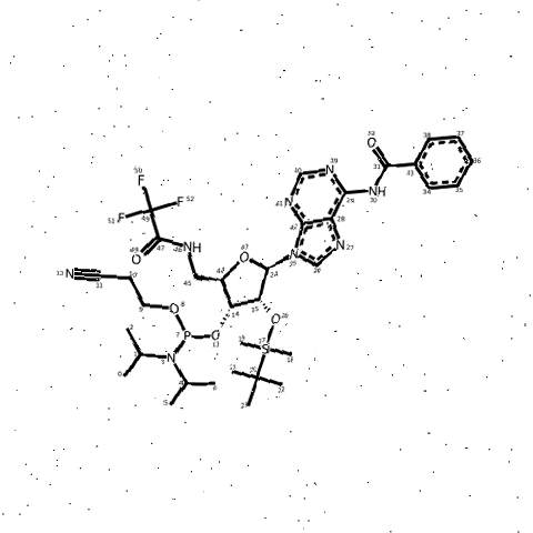 CC(C)N(C(C)C)P(OCCC#N)O[C@H]1[C@@H](O[Si](C)(C)C(C)(C)C)[C@H](n2cnc3c(NC(=O)c4ccccc4)ncnc32)O[C@@H]1CNC(=O)C(F)(F)F